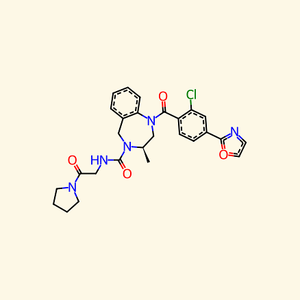 C[C@@H]1CN(C(=O)c2ccc(-c3ncco3)cc2Cl)c2ccccc2CN1C(=O)NCC(=O)N1CCCC1